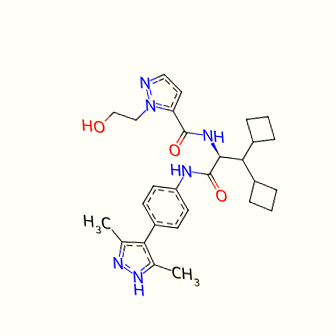 Cc1n[nH]c(C)c1-c1ccc(NC(=O)[C@@H](NC(=O)c2ccnn2CCO)C(C2CCC2)C2CCC2)cc1